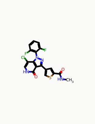 CNC(=O)c1cc(-c2nn(-c3c(F)cccc3F)c3c(Cl)c[nH]c(=O)c23)cs1